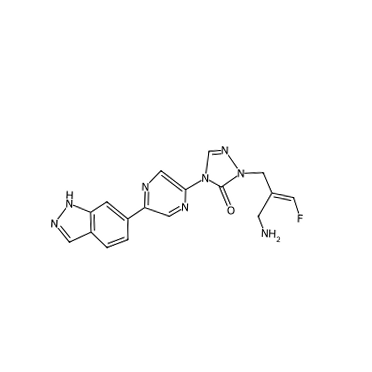 NC/C(=C\F)Cn1ncn(-c2cnc(-c3ccc4cn[nH]c4c3)cn2)c1=O